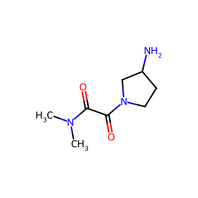 CN(C)C(=O)C(=O)N1CCC(N)C1